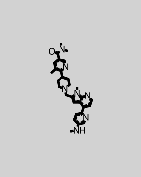 CNc1ccc(-c2ccnc3c2cc(CN2CC=C(c4ncc(C(=O)N(C)C)cc4C)CC2)n3C)nc1